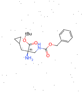 CC(C)(C)OC(=O)[C@](N)(CNC(=O)OCc1ccccc1)CC1CC1